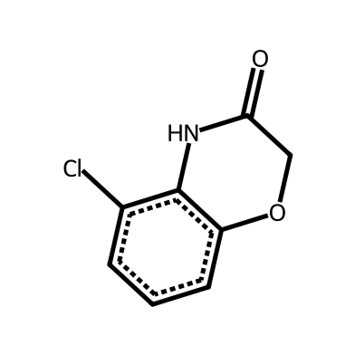 O=C1COc2cccc(Cl)c2N1